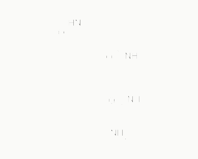 NCCC(=O)NC1CCC(NC(=O)Cc2ccc3c(c2)CC(=O)N3)CC1